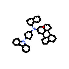 c1ccc(-c2cccc3cccc(-c4cccc(N(c5ccc(-n6c7ccccc7c7ccccc76)cc5)c5cccc6ccccc56)c4)c23)cc1